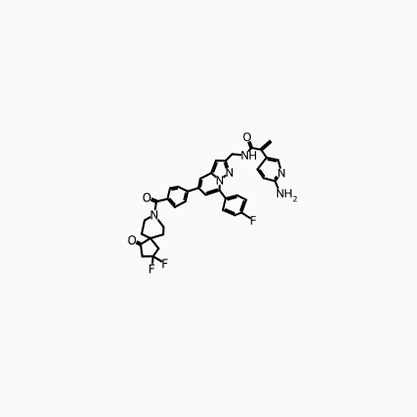 C=C(C(=O)NCc1cc2cc(-c3ccc(C(=O)N4CCC5(CC4)CC(F)(F)CC5=O)cc3)cc(-c3ccc(F)cc3)n2n1)c1ccc(N)nc1